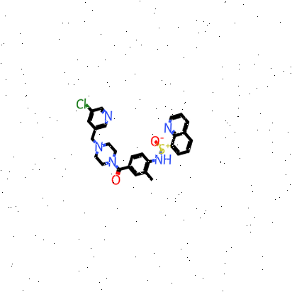 Cc1cc(C(=O)N2CCN(Cc3cncc(Cl)c3)CC2)ccc1N[S+]([O-])c1cccc2cccnc12